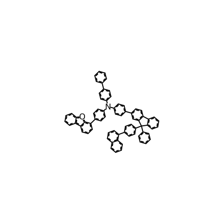 c1ccc(-c2ccc(N(c3ccc(-c4ccc5c(c4)C(c4ccccc4)(c4ccc(-c6cccc7ccccc67)cc4)c4ccccc4-5)cc3)c3ccc(-c4cccc5c4oc4ccccc45)cc3)cc2)cc1